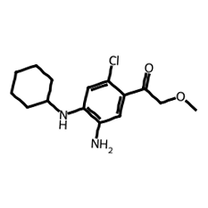 COCC(=O)c1cc(N)c(NC2CCCCC2)cc1Cl